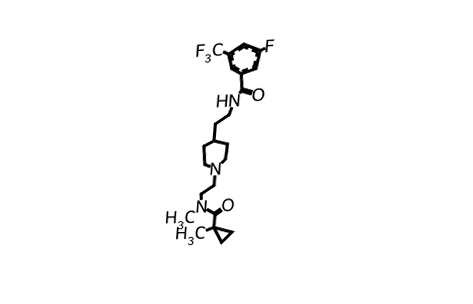 CN(CCN1CCC(CCNC(=O)c2cc(F)cc(C(F)(F)F)c2)CC1)C(=O)C1(C)CC1